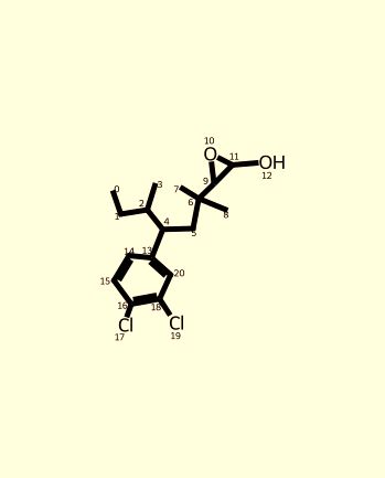 CCC(C)C(CC(C)(C)C1OC1O)c1ccc(Cl)c(Cl)c1